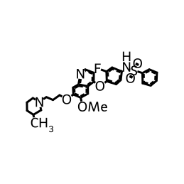 COc1cc2c(Oc3ccc(NS(=O)(=O)c4ccccc4)cc3F)ccnc2cc1OCCCN1CCCC(C)C1